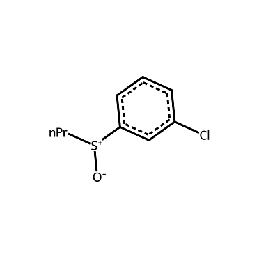 CCC[S+]([O-])c1cccc(Cl)c1